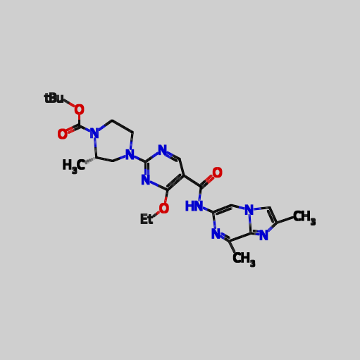 CCOc1nc(N2CCN(C(=O)OC(C)(C)C)[C@@H](C)C2)ncc1C(=O)Nc1cn2cc(C)nc2c(C)n1